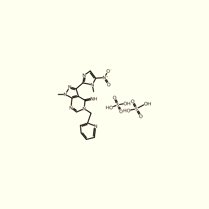 Cn1c([N+](=O)[O-])cnc1-c1nn(C)c2ncn(Cc3ccccn3)c(=N)c12.O=S(=O)(O)O.O=S(=O)(O)O